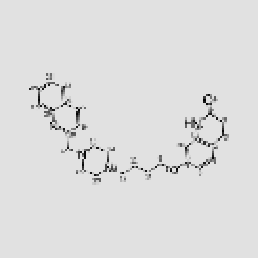 O=C1CCc2ccc(OCCCCN3CCN(Cc4ccc5ccccc5n4)CC3)cc2N1